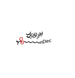 C=C(C)C(=O)OCCCCCCCCCCCCCCCCCC.C=CC(=O)O.CC=C(C)C(=O)O